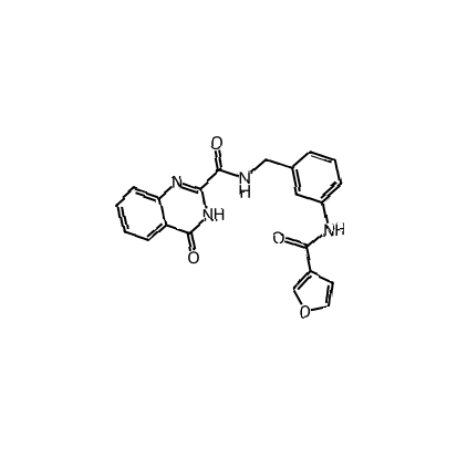 O=C(Nc1cccc(CNC(=O)c2nc3ccccc3c(=O)[nH]2)c1)c1ccoc1